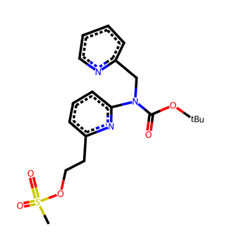 CC(C)(C)OC(=O)N(Cc1ccccn1)c1cccc(CCOS(C)(=O)=O)n1